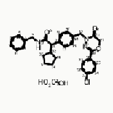 O=C(NCc1ccccc1)C(c1ccc(CN2N=C(c3ccc(Cl)cc3)OCC2=O)cc1)C1CCCC1.O=C(O)O